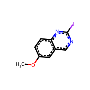 COc1ccc2nc(I)ncc2c1